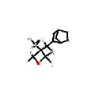 O=S(=O)(O)C(C(F)(F)F)(C(F)(F)F)C(F)(F)C1CC2CCC1C2